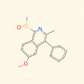 COc1ccc2c([S+](C)[O-])nc(C)c(-c3ccccc3)c2c1